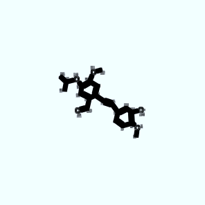 COc1ccc(C#Cc2cc(OC)c(OC(C)C)cc2C=O)cc1[O]